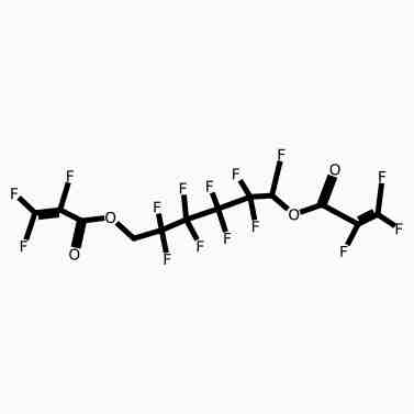 O=C(OCC(F)(F)C(F)(F)C(F)(F)C(F)(F)C(F)OC(=O)C(F)=C(F)F)C(F)=C(F)F